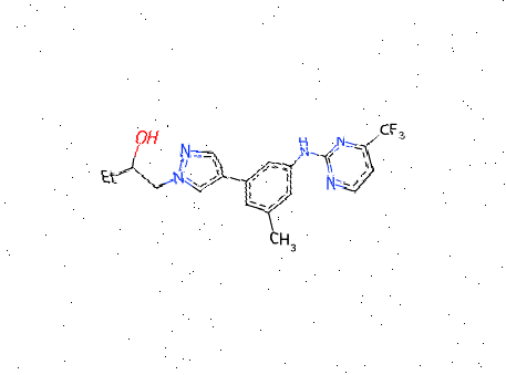 CCC(O)Cn1cc(-c2cc(C)cc(Nc3nccc(C(F)(F)F)n3)c2)cn1